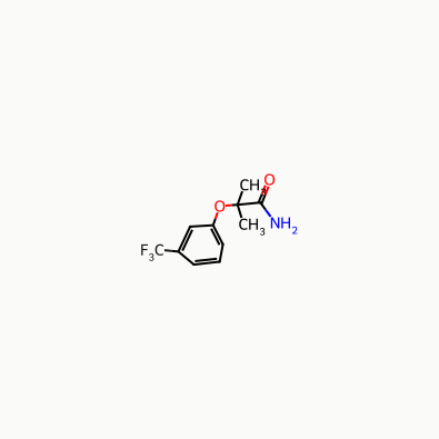 CC(C)(Oc1cccc(C(F)(F)F)c1)C(N)=O